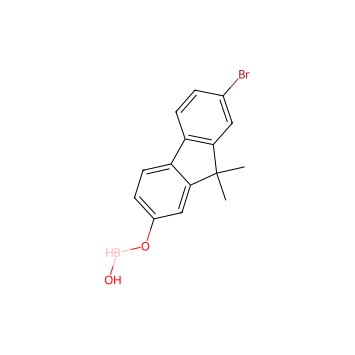 CC1(C)c2cc(Br)ccc2-c2ccc(OBO)cc21